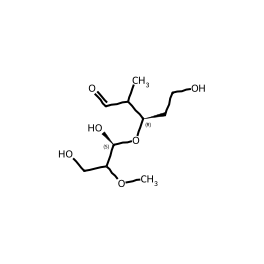 COC(CO)[C@@H](O)O[C@H](CCO)C(C)C=O